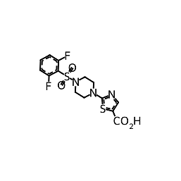 O=C(O)c1cnc(N2CCN(S(=O)(=O)c3c(F)cccc3F)CC2)s1